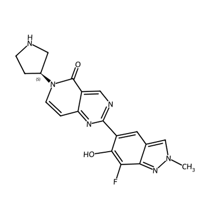 Cn1cc2cc(-c3ncc4c(=O)n([C@H]5CCNC5)ccc4n3)c(O)c(F)c2n1